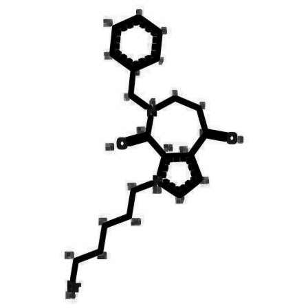 O=C1CCN(Cc2ccccc2)C(=O)c2c1ccn2CCCCCBr